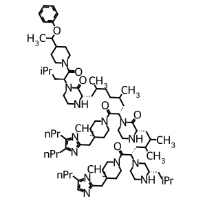 CCCc1nc(CC2CCN(C(=O)[C@H](CC(C)CCC(C)C[C@@H]3NCCN([C@@H](CC(C)C)C(=O)N4CCC(C(C)Oc5ccccc5)CC4)C3=O)N3CCN[C@@H](CC(C)C(C)C[C@@H](C(=O)N4CCC(Cc5ncc(CCC)n5C)CC4)N4CCN[C@@H](CC(C)C)C4)C3=O)CC2)n(C)c1CCC